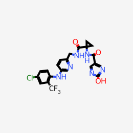 O=C(NC1(C(=O)NCc2ccc(Nc3ccc(Cl)cc3C(F)(F)F)cn2)CC1)c1cnc(O)nc1